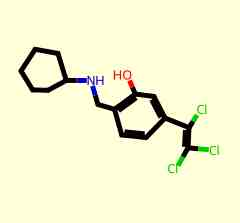 Oc1cc(C(Cl)=C(Cl)Cl)ccc1CNC1CCCCC1